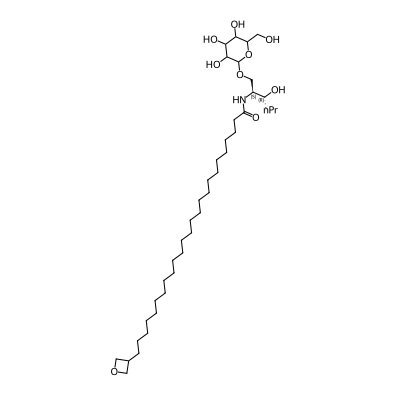 CCC[C@@H](O)[C@H](COC1OC(CO)C(O)C(O)C1O)NC(=O)CCCCCCCCCCCCCCCCCCCCCCCCC1COC1